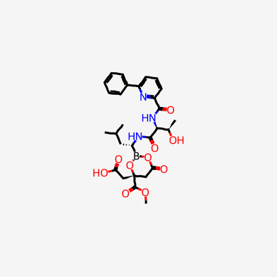 COC(=O)[C@@]1(CC(=O)O)CC(=O)OB([C@H](CC(C)C)NC(=O)[C@@H](NC(=O)c2cccc(-c3ccccc3)n2)[C@@H](C)O)O1